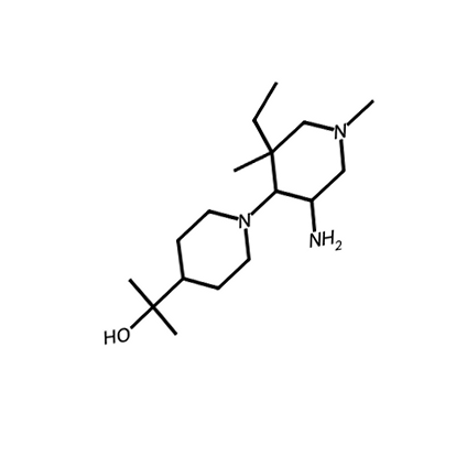 CCC1(C)CN(C)CC(N)C1N1CCC(C(C)(C)O)CC1